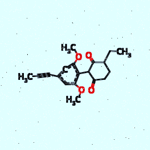 CC#Cc1cc(OC)c(C2C(=O)CCC(CC)C2=O)c(OC)c1